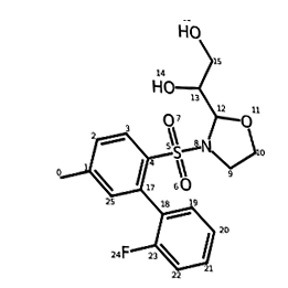 Cc1ccc(S(=O)(=O)N2CCOC2C(O)CO)c(-c2ccccc2F)c1